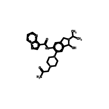 CC(C)N1Cc2cc(NC(=O)c3cnn4cccnc34)c(N3CCN(CC(N)=O)CC3)cc2C1O